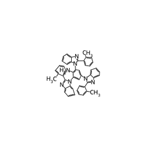 Cc1ccccc1-c1nc2ccccc2n1-c1cc(-n2c(-c3ccccc3C)nc3ccccc32)c(N)c(-n2c(-c3ccccc3C)nc3ccccc32)c1